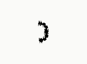 c1ncc(-c2ccc(-c3ccc(-c4nc5sc(-c6ccc(-c7ccc(-c8cncnc8)s7)s6)nc5s4)s3)s2)cn1